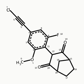 COc1cc(C#CCl)cc(F)c1C1C(=O)C2CCC(C2)C1=O